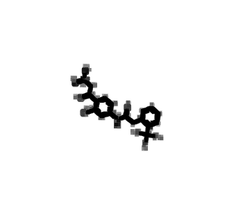 O=C(Cc1ccccc1C(F)(F)F)Nc1ccc(C(=O)C[N+](=O)[O-])c(Cl)c1